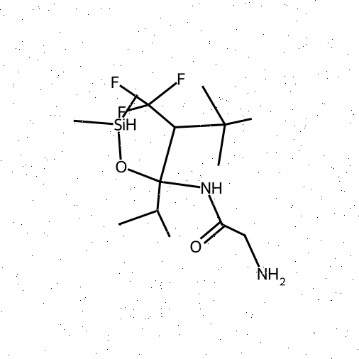 CC(C)C(NC(=O)CN)(O[SiH](C)C)C(C(C)(C)C)C(F)(F)F